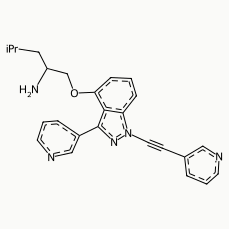 CC(C)CC(N)COc1cccc2c1c(-c1cccnc1)nn2C#Cc1cccnc1